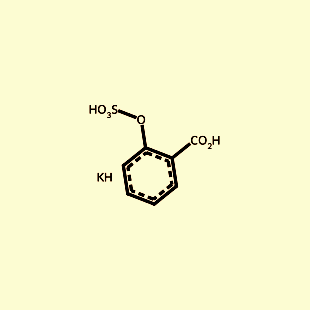 O=C(O)c1ccccc1OS(=O)(=O)O.[KH]